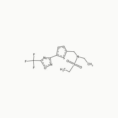 CCN(Cc1ccc(-c2noc(C(F)(F)F)n2)s1)S(=O)(=O)CC